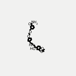 CC1(C)OCc2cc([C@@H](O)CNCCc3ccc(OCCOCc4cccc(C(N)=O)c4)cc3)ccc2O1